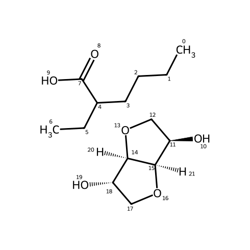 CCCCC(CC)C(=O)O.O[C@@H]1CO[C@H]2[C@@H]1OC[C@@H]2O